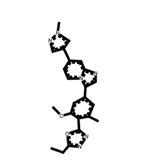 CCc1nnc(-c2c(C)cc(-c3cnc4cc(-c5cnn(C)c5)ccn34)cc2OC)o1